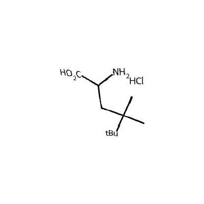 CC(C)(C)C(C)(C)CC(N)C(=O)O.Cl